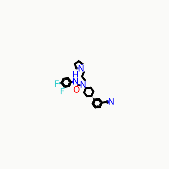 N#Cc1cccc([C@H]2CC[C@@H](N(CCCN3CCCC3)C(=O)Nc3ccc(F)c(F)c3)CC2)c1